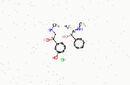 CNC[C@H](O)c1cccc(O)c1.CN[C@@H](C)[C@@H](O)c1ccccc1.Cl